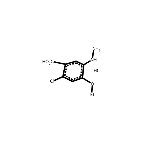 CCOc1cc(Cl)c(C(=O)O)cc1NN.Cl